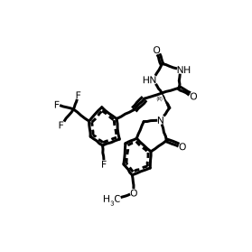 COc1ccc2c(c1)C(=O)N(C[C@@]1(C#Cc3cc(F)cc(C(F)(F)F)c3)NC(=O)NC1=O)C2